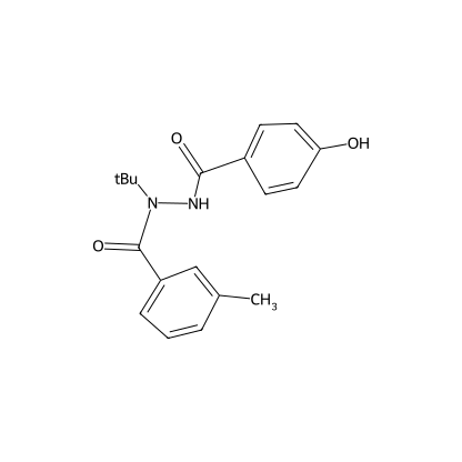 Cc1cccc(C(=O)N(NC(=O)c2ccc(O)cc2)C(C)(C)C)c1